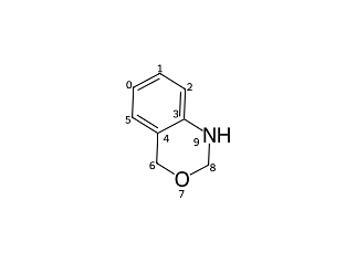 c1ccc2c(c1)COCN2